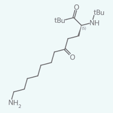 CC(C)(C)N[C@@H](CCC(=O)CCCCCCCN)C(=O)C(C)(C)C